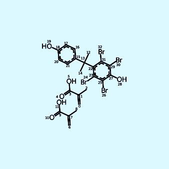 C=C(C)C(=O)O.C=C(C)C(=O)O.CC(C)(c1ccc(O)cc1)c1c(Br)c(Br)c(O)c(Br)c1Br